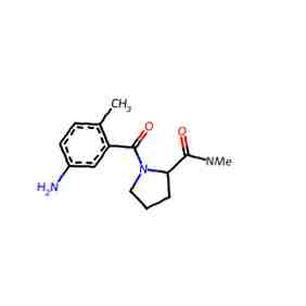 CNC(=O)C1CCCN1C(=O)c1cc(N)ccc1C